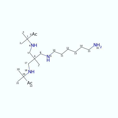 CC(=O)C(C)(C)NCC(C)(CNCCCCCCN)CNC(C)(C)C(C)=O